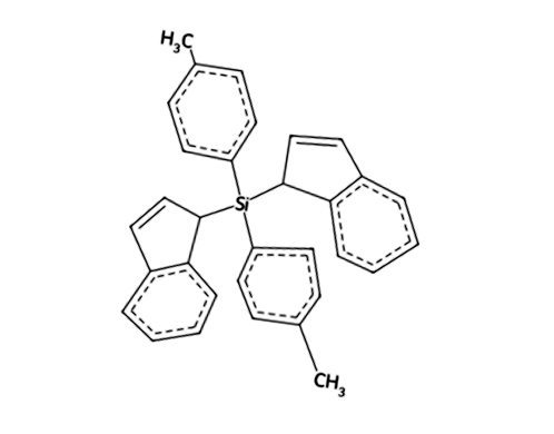 Cc1ccc([Si](c2ccc(C)cc2)(C2C=Cc3ccccc32)C2C=Cc3ccccc32)cc1